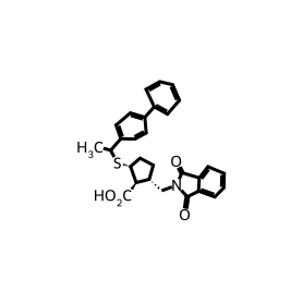 CC(S[C@@H]1CC[C@H](CN2C(=O)c3ccccc3C2=O)[C@H]1C(=O)O)c1ccc(-c2ccccc2)cc1